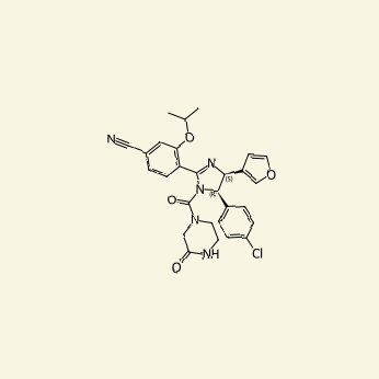 CC(C)Oc1cc(C#N)ccc1C1=N[C@@H](c2ccoc2)[C@@H](c2ccc(Cl)cc2)N1C(=O)N1CCNC(=O)C1